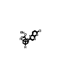 CC(C)(C)OC(=O)N[C@H]1[C@@H]2C[C@H]1CN(c1cnc3nc(Cl)ccc3n1)C2